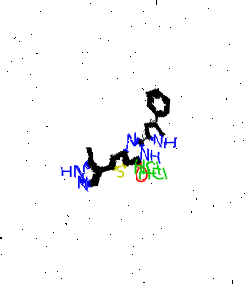 Cc1[nH]ncc1-c1cc2nc([C@@H]3C[C@@H](c4ccccc4)CN3)[nH]c(=O)c2s1.Cl.Cl